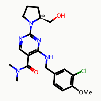 COc1ccc(CNc2nc(N3CCC[C@H]3CO)ncc2C(=O)N(C)C)cc1Cl